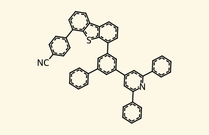 N#Cc1ccc(-c2cccc3c2sc2c(-c4cc(-c5ccccc5)cc(-c5cc(-c6ccccc6)nc(-c6ccccc6)c5)c4)cccc23)cc1